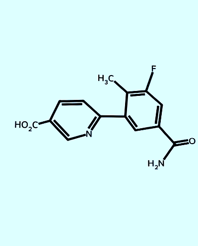 Cc1c(F)cc(C(N)=O)cc1-c1ccc(C(=O)O)cn1